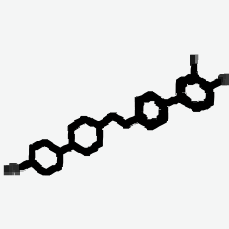 CCCC1CCC(C2CCC(CCc3ccc(-c4ccc(Cl)c(F)c4)cc3)CC2)CC1